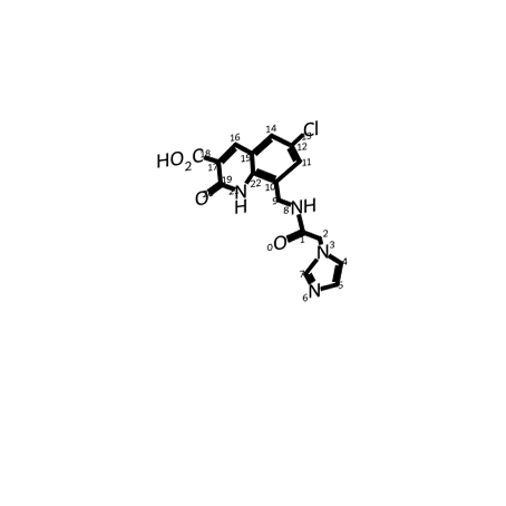 O=C(Cn1ccnc1)NCc1cc(Cl)cc2cc(C(=O)O)c(=O)[nH]c12